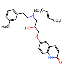 CCN(CCc1cccc(OC)c1)CC(O)COc1ccc2[nH]c(=O)ccc2c1.O=C(O)/C=C/C(=O)O